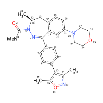 CNC(=O)N1N=C(c2ccc(-c3c(C)noc3C)cc2)c2cc(N3CCOCC3)ccc2C[C@@H]1C